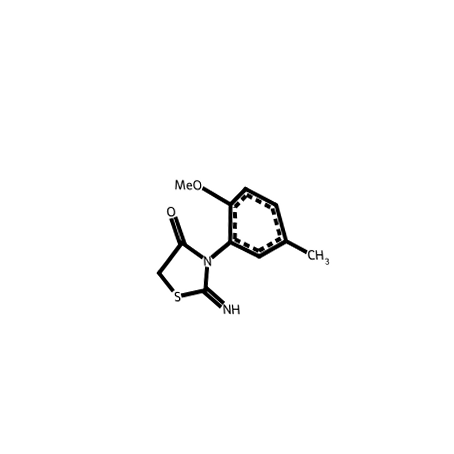 COc1ccc(C)cc1N1C(=N)SCC1=O